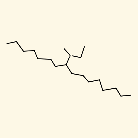 CCCCCCCCC(CCCCCCC)N(C)CC